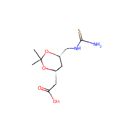 CC1(C)O[C@H](CNC(N)=S)C[C@H](CC(=O)O)O1